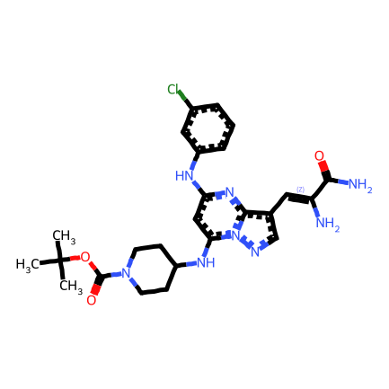 CC(C)(C)OC(=O)N1CCC(Nc2cc(Nc3cccc(Cl)c3)nc3c(/C=C(\N)C(N)=O)cnn23)CC1